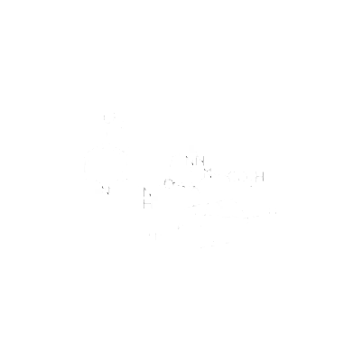 NC(=O)C12CC3C[C@H](C1)C(C1C(Nc4cc(C(F)(F)F)ccn4)CCN1C(=O)O)[C@@H](C3)C2